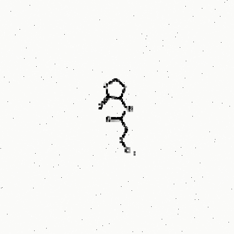 CSCC(=O)NC1CCOC1=O